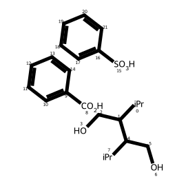 CC(C)C(CO)C(CO)C(C)C.O=C(O)c1ccccc1.O=S(=O)(O)c1ccccc1